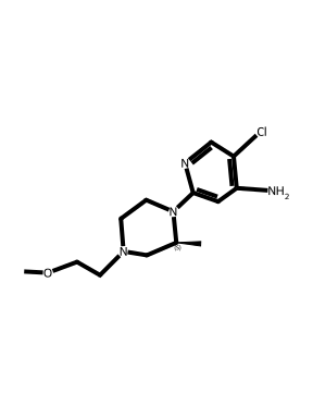 COCCN1CCN(c2cc(N)c(Cl)cn2)[C@@H](C)C1